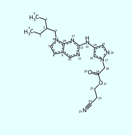 CCC(CC)Cn1ccc2cnc(Nc3cnn(CC(=O)OCCC#N)c3)nc21